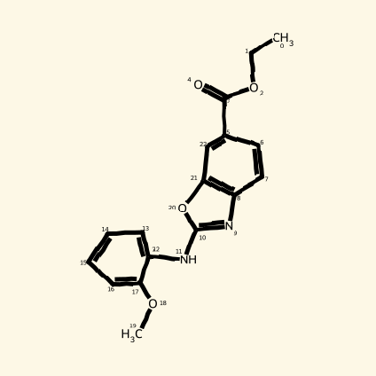 CCOC(=O)c1ccc2nc(Nc3ccccc3OC)oc2c1